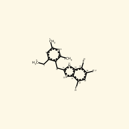 CCc1[c]c(C)nc(C)c1Cc1nc2c(F)c(F)cc(F)c2s1